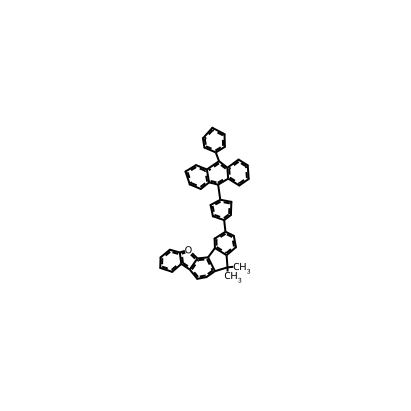 CC1(C)c2ccc(-c3ccc(-c4c5ccccc5c(-c5ccccc5)c5ccccc45)cc3)cc2-c2c1ccc1c2oc2ccccc21